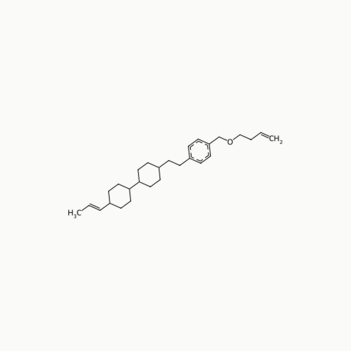 C=CCCOCc1ccc(CCC2CCC(C3CCC(/C=C/C)CC3)CC2)cc1